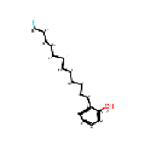 Oc1ccccc1CCCCCCCCCCCCF